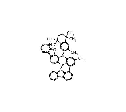 Cc1cc2c3c(c1)N(c1cc4c(cc1C)C(C)(C)CCC4(C)C)c1c(ccc4c1oc1ccccc14)B3n1c3ccccc3c3cccc-2c31